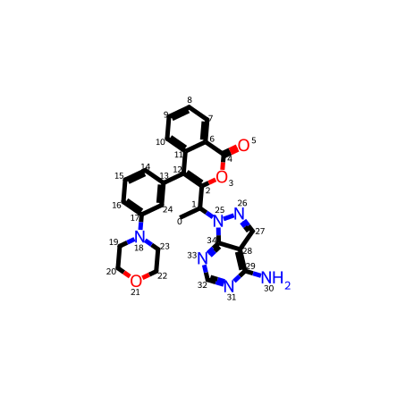 CC(c1oc(=O)c2ccccc2c1-c1cccc(N2CCOCC2)c1)n1ncc2c(N)ncnc21